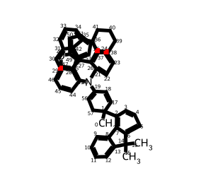 CC1(c2cccc3c2-c2ccccc2C3(C)C)C=CC(N(c2ccccc2-c2cccc3cccc(C4CCCCC4)c23)c2cccc3oc4ccccc4c23)=CC1